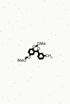 COCOc1ccc(OCOC)c(C(=O)c2cccc(C)c2)c1